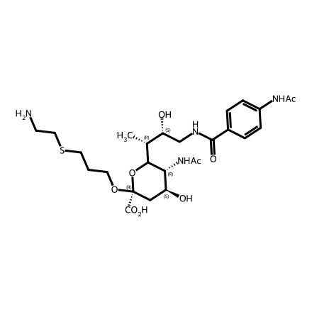 CC(=O)Nc1ccc(C(=O)NC[C@@H](O)[C@@H](C)C2O[C@@](OCCCSCCN)(C(=O)O)C[C@H](O)[C@H]2NC(C)=O)cc1